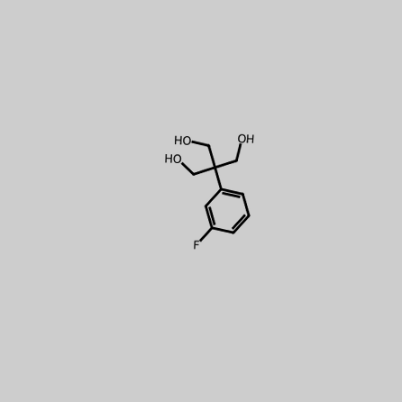 OCC(CO)(CO)c1cccc(F)c1